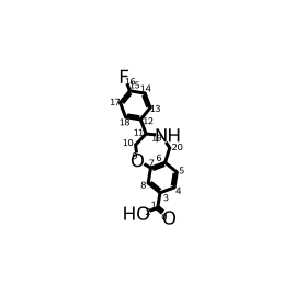 O=C(O)c1ccc2c(c1)OCC(c1ccc(F)cc1)NC2